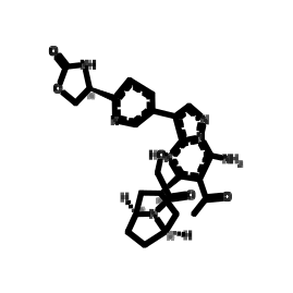 CC(=O)c1c([C@H]2C[C@H]3CC[C@@H](C2)N3C(=O)CO)nc2c(-c3ccc([C@H]4COC(=O)N4)nc3)cnn2c1N